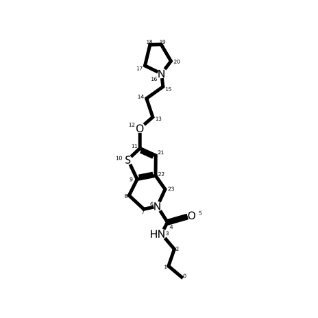 CCCNC(=O)N1CCc2sc(OCCCN3CCCC3)cc2C1